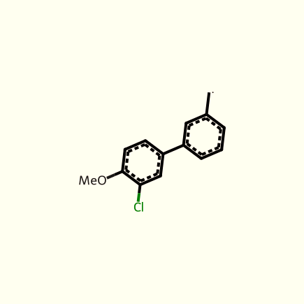 [CH2]c1cccc(-c2ccc(OC)c(Cl)c2)c1